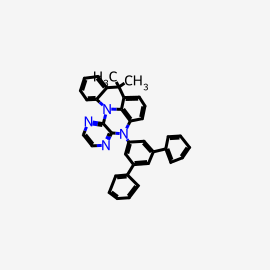 CC1(C)c2ccccc2N2c3nccnc3N(c3cc(-c4ccccc4)cc(-c4ccccc4)c3)c3cccc1c32